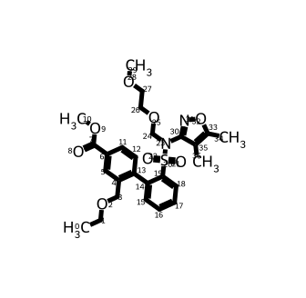 CCOCc1cc(C(=O)OC)ccc1-c1ccccc1S(=O)(=O)N(COCCOC)c1noc(C)c1C